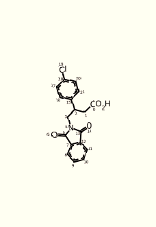 O=C(O)CC(CN1C(=O)c2ccccc2C1=O)c1ccc(Cl)cc1